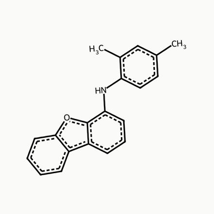 Cc1ccc(Nc2cccc3c2oc2ccccc23)c(C)c1